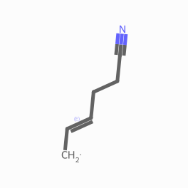 [CH2]/C=C/CCC#N